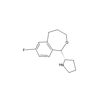 Fc1ccc2c(c1)CCCOC2[C@@H]1CCCN1